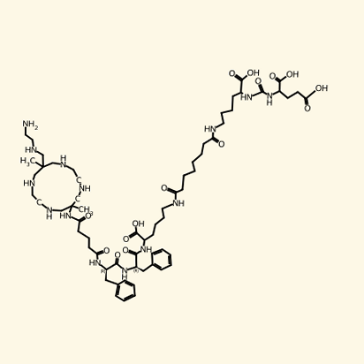 CC1(CNCCN)CNCCNCC(C)(NC(=O)CCCC(=O)N[C@H](Cc2ccccc2)C(=O)N[C@H](Cc2ccccc2)C(=O)NC(CCCCNC(=O)CCCCCCC(=O)NCCCCC(NC(=O)NC(CCC(=O)O)C(=O)O)C(=O)O)C(=O)O)CNCCNC1